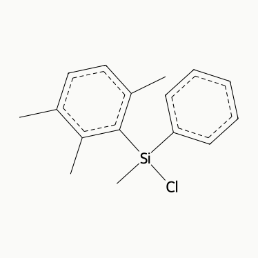 Cc1ccc(C)c([Si](C)(Cl)c2ccccc2)c1C